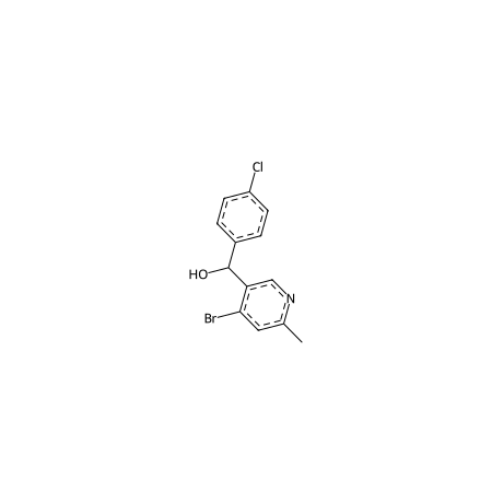 Cc1cc(Br)c(C(O)c2ccc(Cl)cc2)cn1